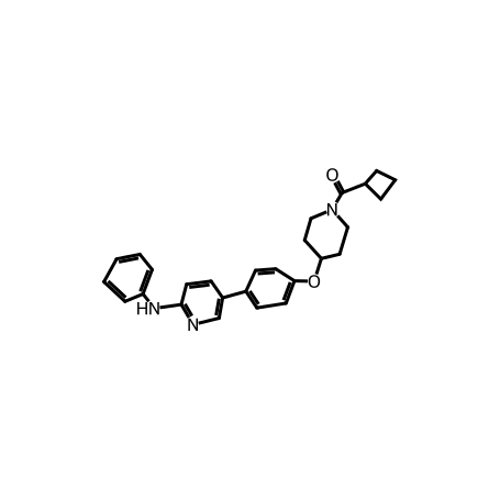 O=C(C1CCC1)N1CCC(Oc2ccc(-c3ccc(Nc4ccccc4)nc3)cc2)CC1